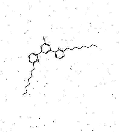 CCCCCCCCc1cccc(-c2cc(Br)cc(-c3cccc(CCCCCCCC)n3)c2)n1